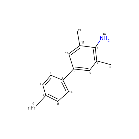 CCCc1ccc(-c2cc(C)c(N)c(C)c2)cc1